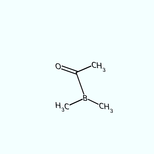 CB(C)C(C)=O